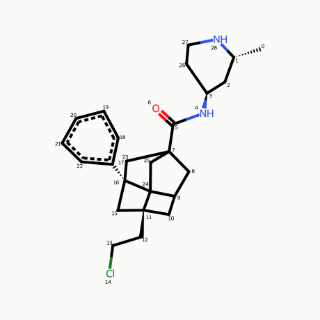 C[C@@H]1C[C@@H](NC(=O)C23CC4C[C@]5(CCCl)C[C@@](c6ccccc6)(C2)C45C3)CCN1